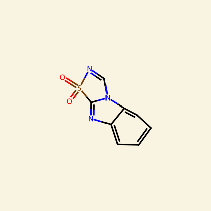 O=S1(=O)N=Cn2c1nc1ccccc12